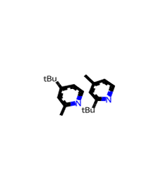 Cc1cc(C(C)(C)C)ccn1.Cc1ccnc(C(C)(C)C)c1